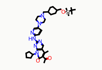 CC(=O)c1c(C)c2cnc(Nc3ccc(N4CCN(CC5CCC(CO[Si](C)(C)C(C)(C)C)CC5)CC4)cn3)nc2n(C2CCCC2)c1=O